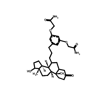 C[C@]12CCC(=O)CC1CC(CCCc1cc(OCC(N)=O)cc(OCC(N)=O)c1)[C@@H]1[C@H]2CC[C@]2(C)C(O)CC[C@@H]12